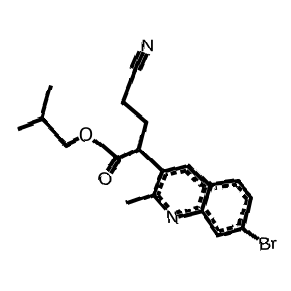 Cc1nc2cc(Br)ccc2cc1C(CCC#N)C(=O)OCC(C)C